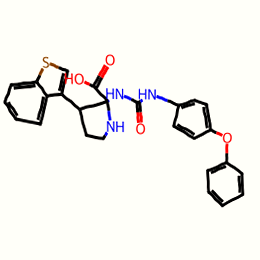 O=C(Nc1ccc(Oc2ccccc2)cc1)N[C@]1(C(=O)O)NCCC1c1csc2ccccc12